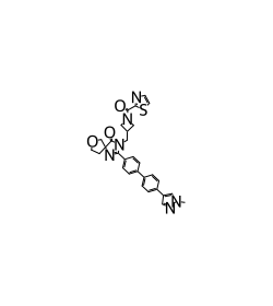 Cn1cc(-c2ccc(-c3ccc(C4=NC5(CCOC5)C(=O)N4CC4CN(C(=O)c5nccs5)C4)cc3)cc2)cn1